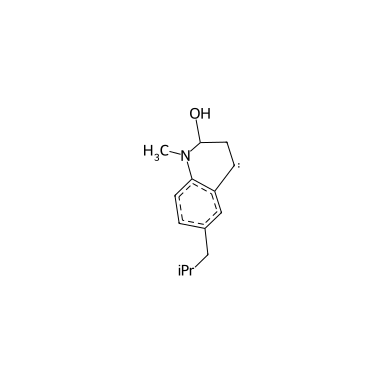 CC(C)Cc1ccc2c(c1)[C]CC(O)N2C